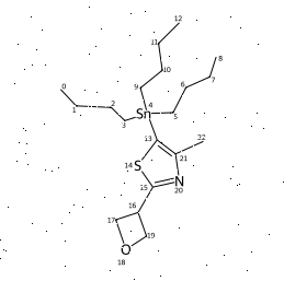 CCC[CH2][Sn]([CH2]CCC)([CH2]CCC)[c]1sc(C2COC2)nc1C